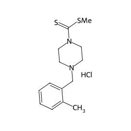 CSC(=S)N1CCN(Cc2ccccc2C)CC1.Cl